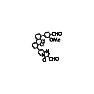 COc1cc(-c2cccc(-c3cccc(-c4ccn5c(=O)c(C=O)cnc5c4)c3Cl)c2Cl)ccc1C=O